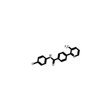 O=C(Nc1ccc(Cl)cc1)c1ccc(-c2ncccc2C(F)(F)F)cc1